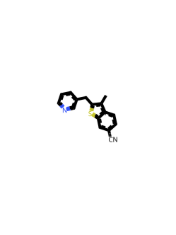 Cc1c(Cc2cccnc2)sc2cc(C#N)ccc12